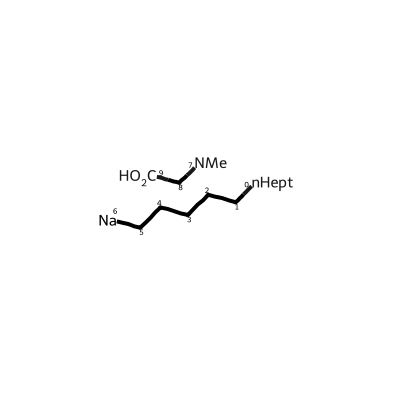 CCCCCCCCCCC[CH2][Na].CNCC(=O)O